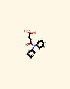 O=C(O)CCC(=O)N(c1ccccc1)c1ccccc1